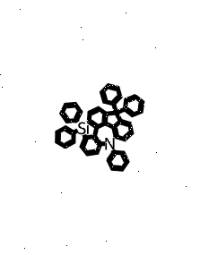 c1ccc(N2c3cccc4c3-c3c(ccc5c3-c3c2cccc3[Si]5(c2ccccc2)c2ccccc2)C4(c2ccccc2)c2ccccc2)cc1